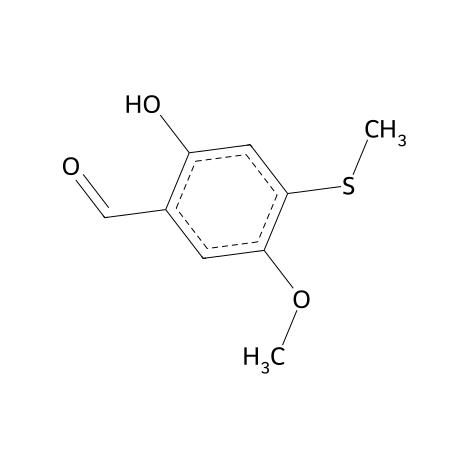 COc1cc(C=O)c(O)cc1SC